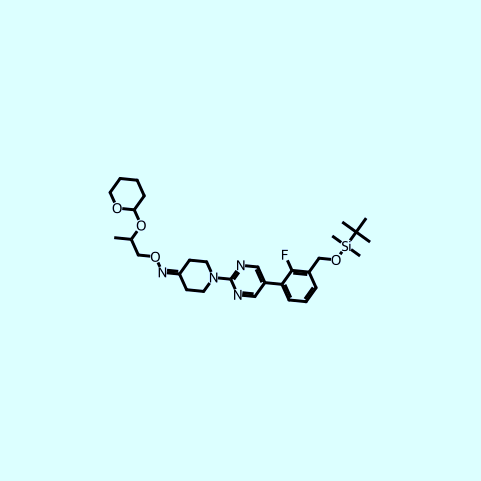 CC(CON=C1CCN(c2ncc(-c3cccc(CO[Si](C)(C)C(C)(C)C)c3F)cn2)CC1)OC1CCCCO1